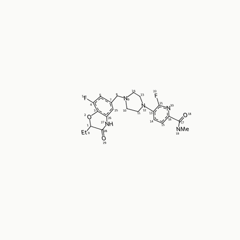 CCC1Oc2c(F)cc(CN3CCN(c4ccc(C(=O)NC)nc4F)CC3)cc2NC1=O